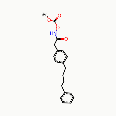 CC(C)OC(=O)ONC(=O)Cc1ccc(CCCCc2ccccc2)cc1